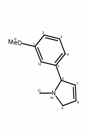 COc1cccc(C2C=CCN2C)c1